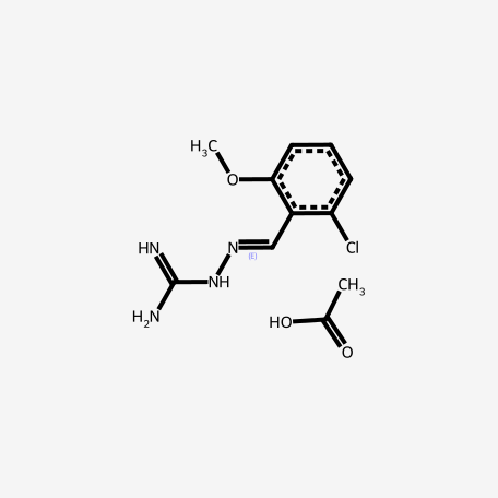 CC(=O)O.COc1cccc(Cl)c1/C=N/NC(=N)N